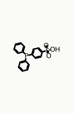 O=S(=O)(O)c1ccc(P(c2ccccc2)c2ccccc2)cc1